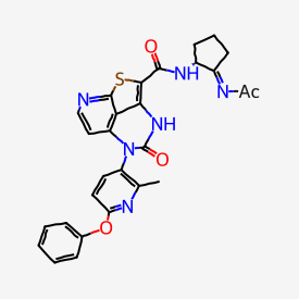 CC(=O)/N=C1\CCC[C@H]1NC(=O)c1sc2nccc3c2c1NC(=O)N3c1ccc(Oc2ccccc2)nc1C